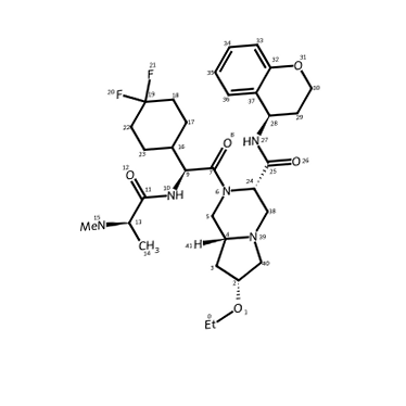 CCO[C@@H]1C[C@@H]2CN(C(=O)[C@@H](NC(=O)[C@@H](C)NC)C3CCC(F)(F)CC3)[C@H](C(=O)N[C@@H]3CCOc4ccccc43)CN2C1